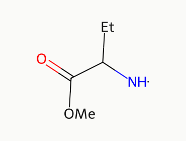 CCC([NH])C(=O)OC